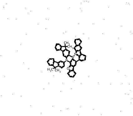 CC1(C)c2ccccc2-c2cc(N3c4cc5c(cc4B4c6c(cc7c(oc8ccccc87)c63)-c3cccc6c7cc8ccccc8cc7n4c36)C(C)(C)c3ccccc3-5)ccc21